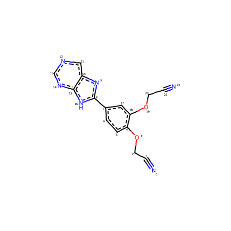 N#CCOc1ccc(-c2nc3cncnc3[nH]2)cc1OCC#N